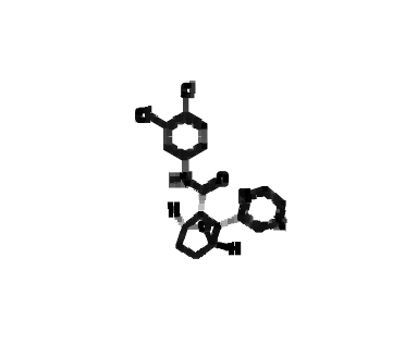 O=C(Nc1ccc(Cl)c(Cl)c1)[C@@H]1[C@H](c2cnccn2)[C@@H]2CC[C@@H]1O2